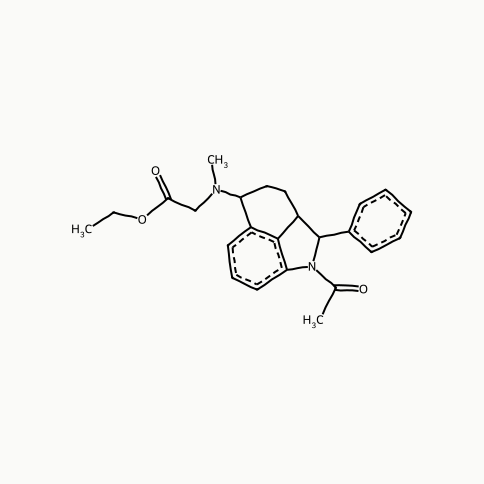 CCOC(=O)CN(C)C1CCC2c3c1cccc3N(C(C)=O)C2c1ccccc1